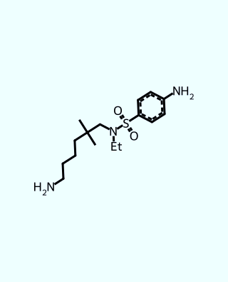 CCN(CC(C)(C)CCCCN)S(=O)(=O)c1ccc(N)cc1